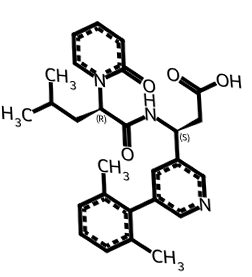 Cc1cccc(C)c1-c1cncc([C@H](CC(=O)O)NC(=O)[C@@H](CC(C)C)n2ccccc2=O)c1